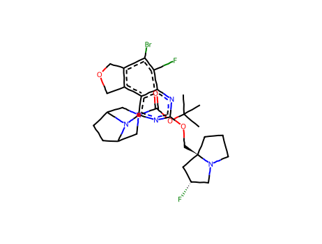 CC(C)(C)OC(=O)N1CC2CCC(C1)N2c1nc(OC[C@@]23CCCN2C[C@H](F)C3)nc2c(F)c(Br)c3c(c12)COC3